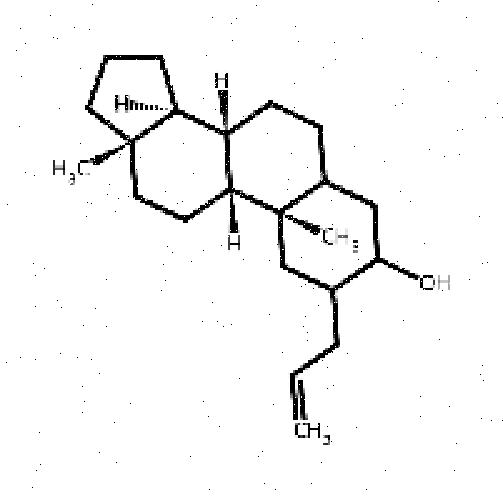 C=CCC1C[C@@]2(C)C(CC[C@@H]3[C@H]2CC[C@]2(C)CCC[C@@H]32)CC1O